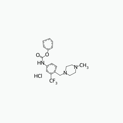 CN1CCN(Cc2ccc(NC(=O)Oc3ccccc3)cc2C(F)(F)F)CC1.Cl